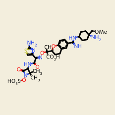 COCC1(N)CCC(NC(=N)c2ccc3c(c2)CCC(C(C)(ON=C(C(=O)NC2C(=O)N(OS(=O)(=O)O)C2(C)C)c2csc(N)n2)C(=O)O)O3)CC1